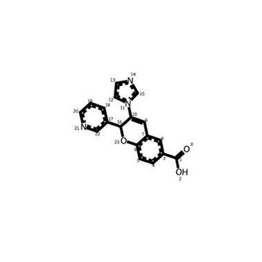 O=C(O)c1ccc2c(c1)C=C(n1ccnc1)C(c1cccnc1)O2